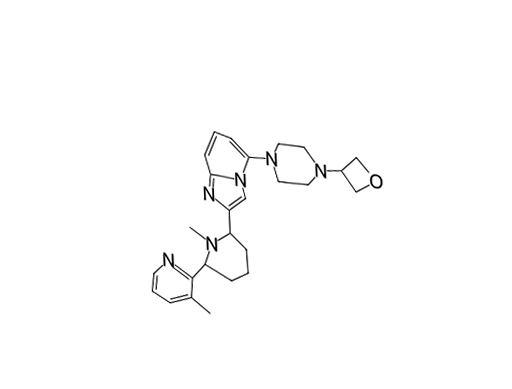 Cc1cccnc1C1CCCC(c2cn3c(N4CCN(C5COC5)CC4)cccc3n2)N1C